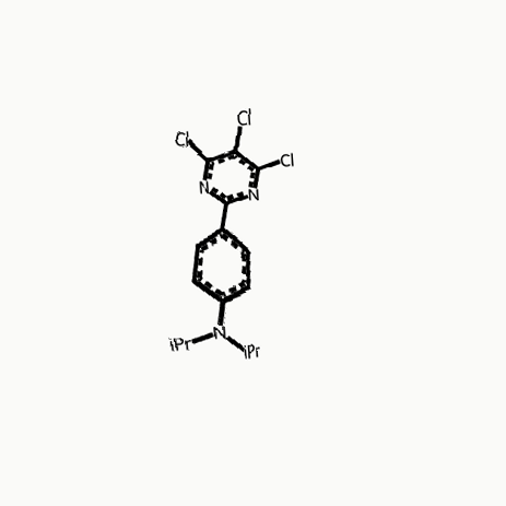 CC(C)N(c1ccc(-c2nc(Cl)c(Cl)c(Cl)n2)cc1)C(C)C